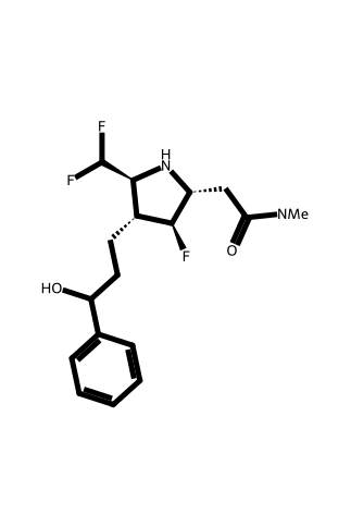 CNC(=O)C[C@H]1N[C@H](C(F)F)[C@@H](CCC(O)c2ccccc2)[C@@H]1F